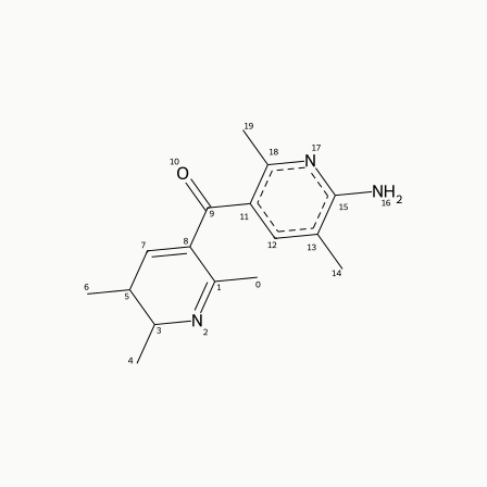 CC1=NC(C)C(C)C=C1C(=O)c1cc(C)c(N)nc1C